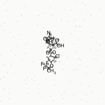 CO[C@H]1C[C@@H](S(=O)(=O)c2ccc(O[C@H](C)C(F)(F)F)cc2Cl)C[C@]1(C(=O)O)C1CC1(C#N)C(N)=O